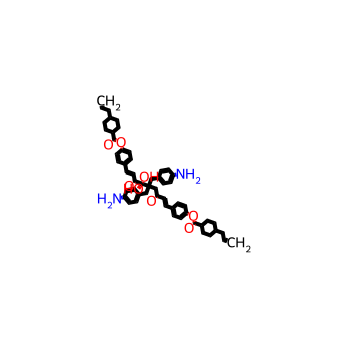 C=CCC1CCC(C(=O)Oc2ccc(/C=C/C(=O)CC(Cc3ccc(N)cc3)(Cc3ccc(N)cc3)C(O)(O)C(=O)/C=C/c3ccc(OC(=O)C4CCC(CC=C)CC4)cc3)cc2)CC1